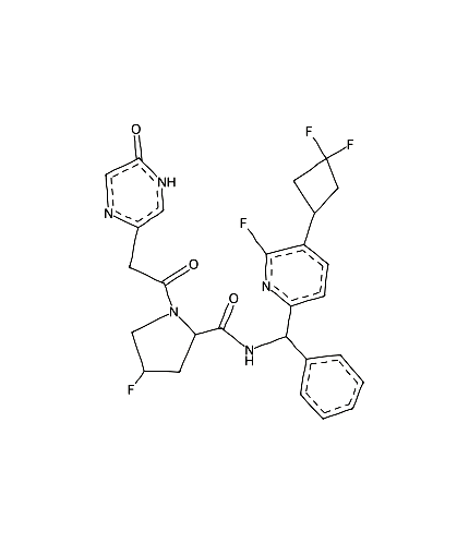 O=C(NC(c1ccccc1)c1ccc(C2CC(F)(F)C2)c(F)n1)C1CC(F)CN1C(=O)Cc1c[nH]c(=O)cn1